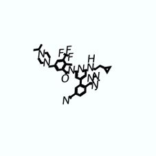 CC(C)N1CCN(Cc2cc3c(c(C(F)(F)F)c2)CN(c2cc(-c4cc(C#N)ccc4-c4nncn4C)cc(NCCC4CC4)n2)C3=O)CC1